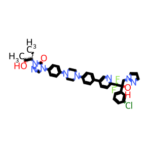 CC[C@@H]([C@H](C)O)n1ncn(-c2ccc(N3CCN(c4ccc(-c5ccc(C(F)(F)C(O)(Cn6cccn6)c6cccc(Cl)c6)nc5)cc4)CC3)cc2)c1=O